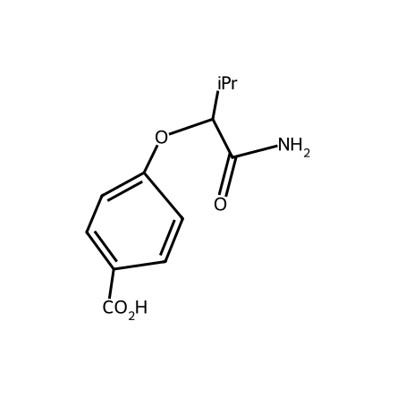 CC(C)C(Oc1ccc(C(=O)O)cc1)C(N)=O